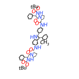 Cc1ccccc1-c1c(-c2ccc(NC(=O)[C@@H]3CCCN3C(=O)[C@H](NC(=O)OC(C)(C)C)c3ccccc3)cc2)[nH]c2ccc(NC(=O)[C@@H]3CCCN3C(=O)[C@H](NC(=O)OC(C)(C)C)c3ccccc3)cc12